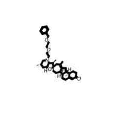 CC1=C2C[C@H]3[C@@H](CCC4=CC(=O)CC[C@@]43C)[C@@H]2CC[C@@]2(C1)O[C@@H]1C[C@H](C)CN(CCOCCOCc3ccccc3)C1[C@H]2C